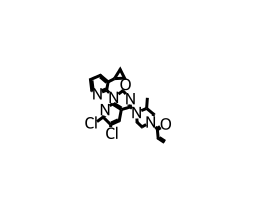 C=CC(=O)N1CCN(c2nc(=O)n(-c3ncccc3C3CC3)c3nc(Cl)c(Cl)cc23)C(C)C1